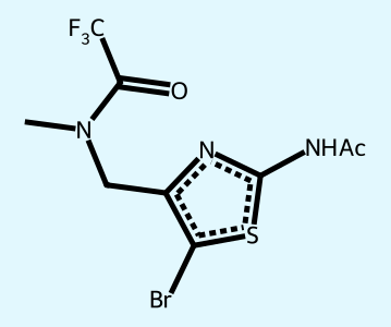 CC(=O)Nc1nc(CN(C)C(=O)C(F)(F)F)c(Br)s1